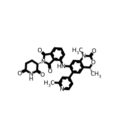 Cc1cc(-c2cc3c(cc2Nc2cccc4c2C(=O)N([C@H]2CCC(=O)NC2=O)C4=O)N(C)C(=O)O[C@@H]3C)ccn1